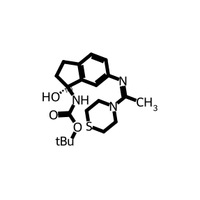 CC(=Nc1ccc2c(c1)[C@@](O)(NC(=O)OC(C)(C)C)CC2)N1CCSCC1